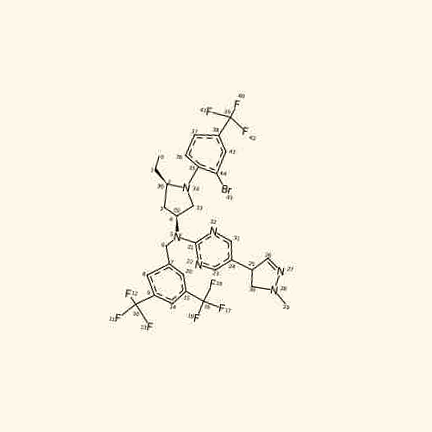 CC[C@@H]1C[C@H](N(Cc2cc(C(F)(F)F)cc(C(F)(F)F)c2)c2ncc(C3C=NN(C)C3)cn2)CN1c1ccc(C(F)(F)F)cc1Br